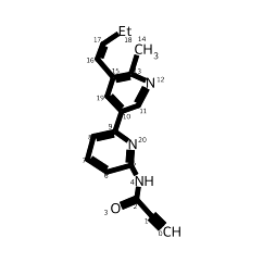 C#CC(=O)Nc1cccc(-c2cnc(C)c(/C=C\CC)c2)n1